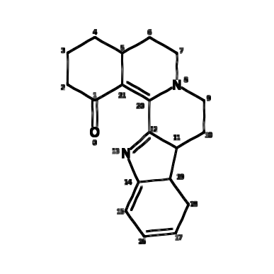 O=C1CCCC2CCN3CCC4C(=NC5=CC=CCC54)C3=C12